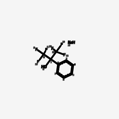 OC(c1ccccc1)(C(F)(F)F)C(F)(F)F.[NaH]